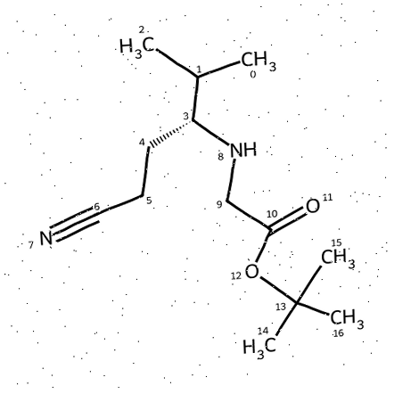 CC(C)[C@@H](CCC#N)NCC(=O)OC(C)(C)C